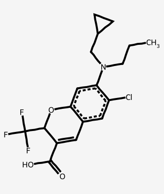 CCCN(CC1CC1)c1cc2c(cc1Cl)C=C(C(=O)O)C(C(F)(F)F)O2